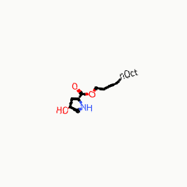 CCCCCCCCCCCCOC(=O)[C@@H]1C[C@@H](O)CN1